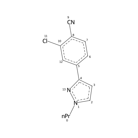 CCCn1ccc(-c2ccc(C#N)c(Cl)c2)n1